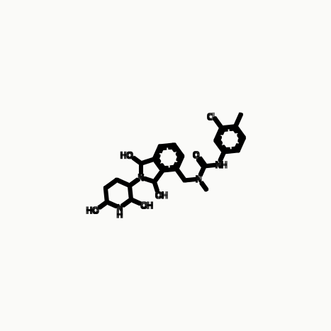 Cc1ccc(NC(=O)N(C)Cc2cccc3c2C(O)N(C2CCC(O)NC2O)C3O)cc1Cl